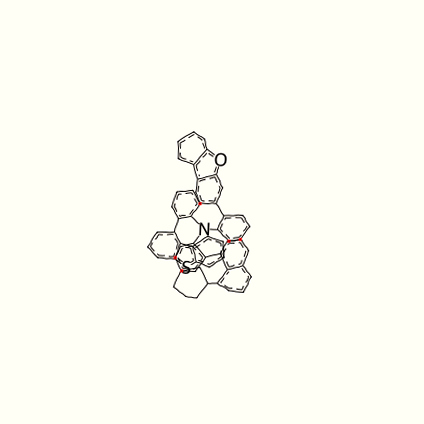 c1ccc(N(c2ccccc2-c2cccc3cccc(C4CCCCC4)c23)c2ccccc2-c2cccc3sc4ccccc4c23)c(-c2ccc3c(c2)oc2ccccc23)c1